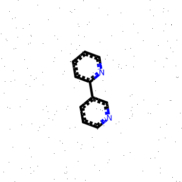 [c]1ccnc(-c2cc[c]nc2)c1